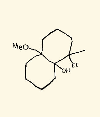 CCC1(C)CCCC2(OC)CCCCC12O